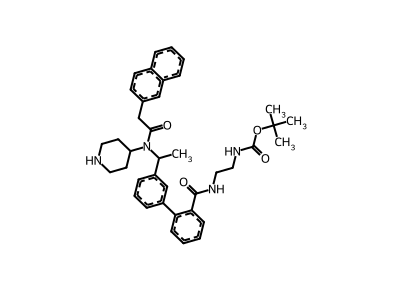 CC(c1cccc(-c2ccccc2C(=O)NCCNC(=O)OC(C)(C)C)c1)N(C(=O)Cc1ccc2ccccc2c1)C1CCNCC1